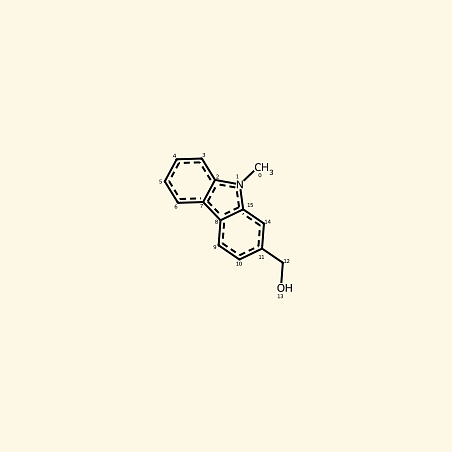 Cn1c2ccccc2c2ccc(CO)cc21